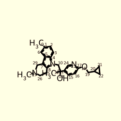 Cc1ccc2c(c1)c1c(n2CC(C)(O)c2ccc(OCC3CC3)nc2)CCN(C)C1